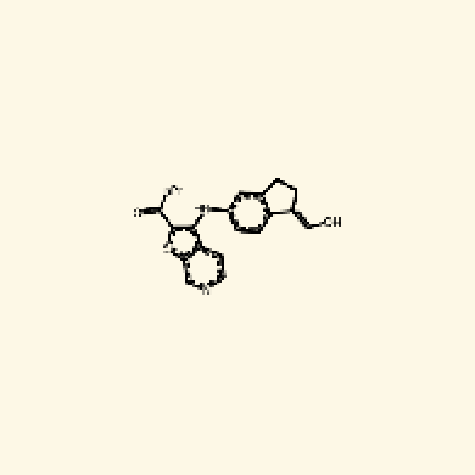 CCCC(=O)c1sc2cnccc2c1Nc1ccc2c(c1)CCC2=CO